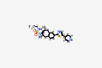 O=S1(=O)N[C@@]2(CN1CC(F)(F)F)[C@@H]1CC[C@H]2Cc2ccc(-c3ncc(-c4ccncc4)s3)cc2C1